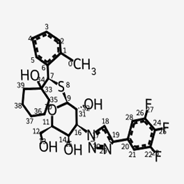 Cc1ccccc1[C@@H](S[C@@H]1O[C@H](CO)[C@H](O)[C@H](n2cc(-c3cc(F)c(F)c(F)c3)nn2)[C@H]1O)C1(O)CCCCC1